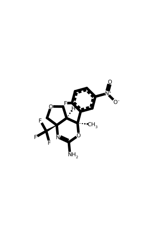 C[C@]1(c2cc([N+](=O)[O-])ccc2F)OC(N)=N[C@]2(C(F)(F)F)COC[C@@H]12